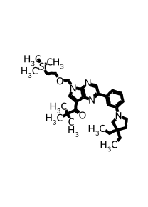 CCC1(CC)CCN(c2cccc(-c3cnc4c(n3)c(C(=O)C(C)(C)C)cn4COCC[Si](C)(C)C)c2)C1